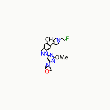 COc1nc(N2CC3CC2CO3)cc(-n2ncc3cc(C)c(C4CCN(CCF)CC4)cc32)n1